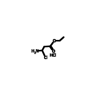 CCOC(=O)CC(N)Cl.Cl